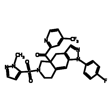 Cn1nccc1S(=O)(=O)N1CCC2=Cc3c(cnn3-c3ccc(F)cc3)CC2(C(=O)c2cc(C(F)(F)F)ccn2)C1